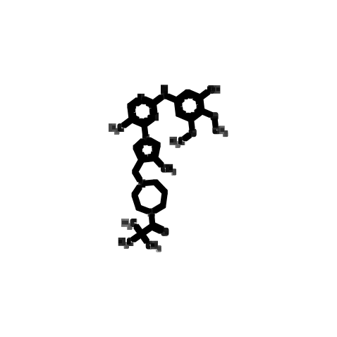 COc1cc(Nc2ncc(C)c(-n3cc(C)c(CN4CCCN(C(=O)C(C)(C)C)CC4)c3)n2)cc(O)c1OC